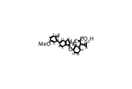 COc1ccc(F)c(-c2ccc3c(c2)CC[C@H]3Oc2cccc([C@H](C3CC3)[C@@H](C)C(=O)O)c2F)c1